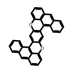 c1ccc2c(c1)cc1cccc3oc4cc5c(cc4c2c13)oc1cccc2cc3ccccc3c5c21